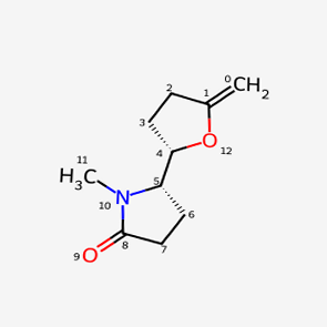 C=C1CC[C@@H]([C@@H]2CCC(=O)N2C)O1